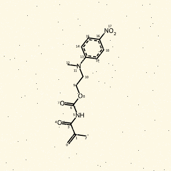 C=C(C)C(=O)NC(=O)OCCN(C)c1ccc([N+](=O)[O-])cc1